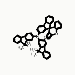 Cc1cc2c(cc1N(c1ccc3c(c1)C(C)(C)c1ccccc1-3)c1ccc3c(c1)C1(c4ccccc4Oc4ccccc41)c1ccccc1-3)C(C)(C)c1ccccc1-2